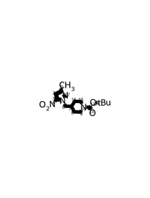 Cc1cc([N+](=O)[O-])n(CC2CCN(C(=O)OC(C)(C)C)CC2)n1